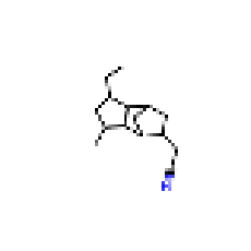 CCC1CC(C)C2C3CC(CC3CC#N)C12